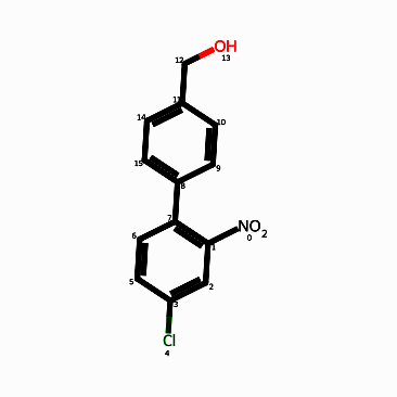 O=[N+]([O-])c1cc(Cl)ccc1-c1ccc(CO)cc1